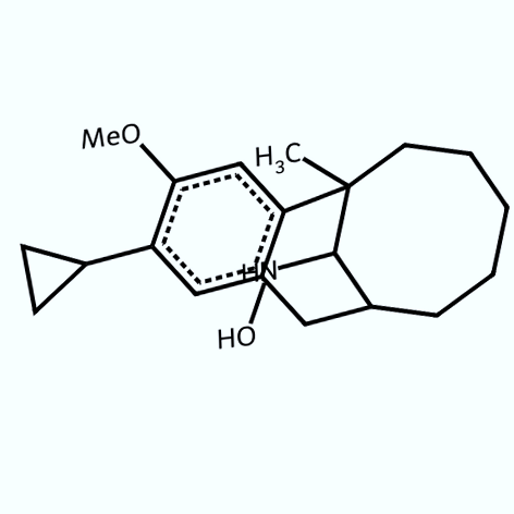 COc1cc2c(cc1C1CC1)CC1CCCCCC2(C)C1NO